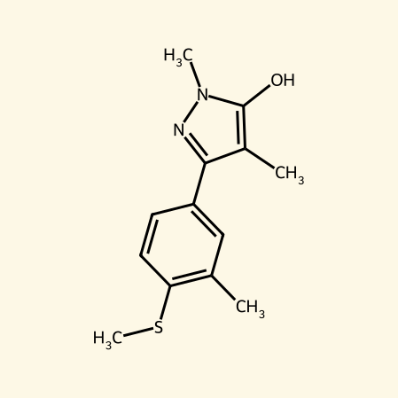 CSc1ccc(-c2nn(C)c(O)c2C)cc1C